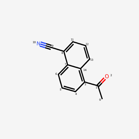 CC(=O)c1cccc2c(C#N)cccc12